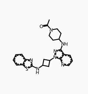 CC(=O)N1CCC(Nc2nn(C3CC(Nc4nc5ccccc5s4)C3)c3ncccc23)CC1